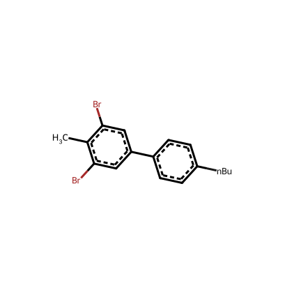 CCCCc1ccc(-c2cc(Br)c(C)c(Br)c2)cc1